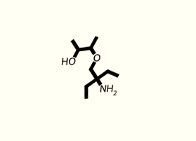 CCC(N)(CC)COC(C)C(C)O